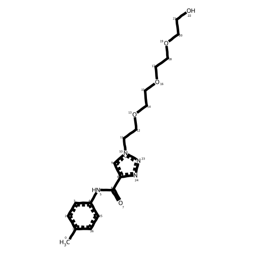 Cc1ccc(NC(=O)c2cn(CCOCCOCCOCCO)nn2)cc1